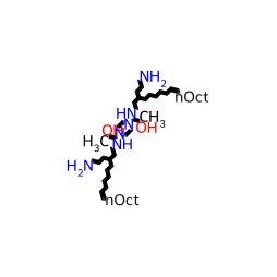 CCCCCCCC/C=C\CCCCCC(CCCN)CCNC(C(C)O)N1CCN(C(NCCC(CCCN)CCCCC/C=C\CCCCCCCC)C(C)O)CC1